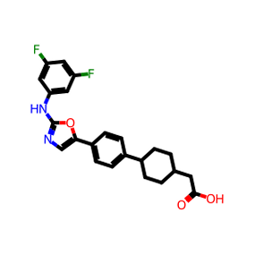 O=C(O)CC1CCC(c2ccc(-c3cnc(Nc4cc(F)cc(F)c4)o3)cc2)CC1